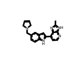 Cc1nc2c(-c3cc4cc(CN5CC=CC5)ccc4[nH]3)ccnc2[nH]1